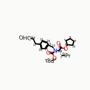 CC(C)C[C@@H](C(=O)OC1CCCC1)N(Cc1ccc(CCC=O)cc1)C(=O)OC(C)(C)C